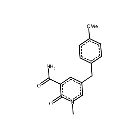 COc1ccc(Cc2cc(C(N)=O)c(=O)n(C)c2)cc1